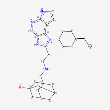 N#CC[C@H]1CC[C@H](n2c(CCNCC34CC5CC(CC(O)(C5)C3)C4)nc3cnc4[nH]ccc4c32)CC1